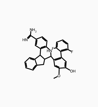 COc1cc(C2Nc3ccc(C(=N)N)cc3C3c4ccccc4CC23)c(-c2c(F)cccc2F)cc1O